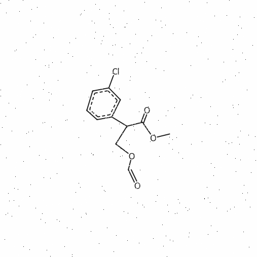 COC(=O)C(COC=O)c1cccc(Cl)c1